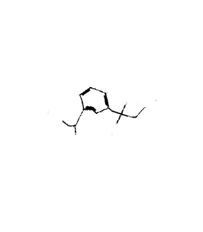 CC(C)c1cccc(C(C)(C)CO)c1